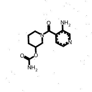 NC(=O)OC1CCCN(C(=O)c2ccncc2N)C1